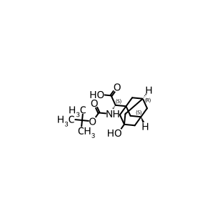 CC(C)(C)OC(=O)N[C@H](C(=O)O)C12C[C@@H]3C[C@@H](CC(O)(C3)C1)C2